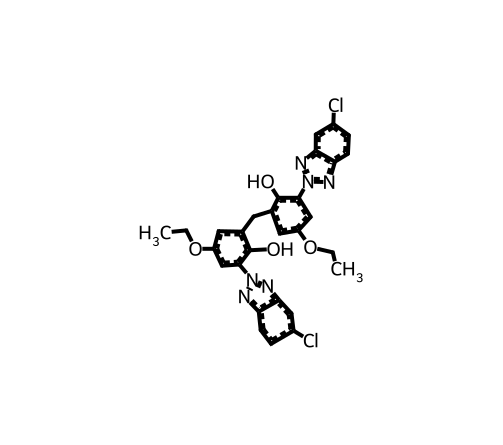 CCOc1cc(Cc2cc(OCC)cc(-n3nc4ccc(Cl)cc4n3)c2O)c(O)c(-n2nc3ccc(Cl)cc3n2)c1